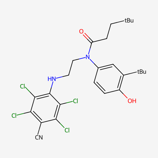 CC(C)(C)CCC(=O)N(CCNc1c(Cl)c(Cl)c(C#N)c(Cl)c1Cl)c1ccc(O)c(C(C)(C)C)c1